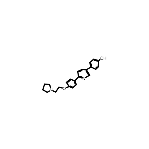 Oc1ccc(-c2ccc(-c3ccc(OCCN4CCCC4)cc3)nc2)cc1